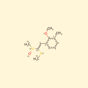 COc1c(C)cccc1/C=C(\SC)[S+](C)[O-]